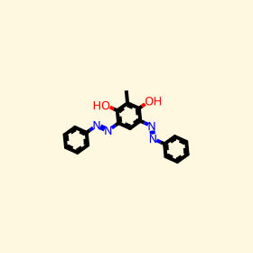 Cc1c(O)c(N=Nc2ccccc2)cc(N=Nc2ccccc2)c1O